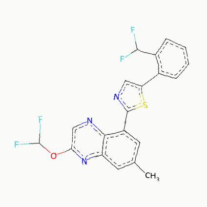 Cc1cc(-c2ncc(-c3ccccc3C(F)F)s2)c2ncc(OC(F)F)nc2c1